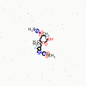 C/C(=C\c1cc(F)c2cnn(C3CCN(S(C)(=O)=O)CC3)c2c1)[C@H]1OC(=O)C[C@H](O)CC[C@H](C)C(OC(=O)N2CCN(C)CC2)/C=C/[C@@H]1C